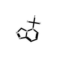 FC(F)(F)N1[C]=CC=C2N=NCN21